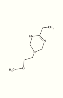 CCC1=NCN(CCOC)CN1